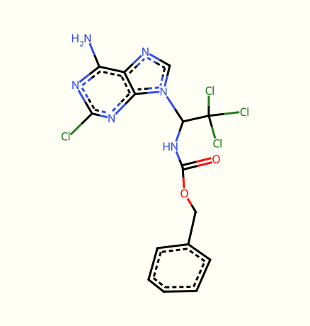 Nc1nc(Cl)nc2c1ncn2C(NC(=O)OCc1ccccc1)C(Cl)(Cl)Cl